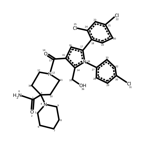 NC(=O)C1(N2CCCCC2)CCN(C(=O)c2cc(-c3ccc(Cl)cc3Cl)n(-c3ccc(Cl)cc3)c2CO)CC1